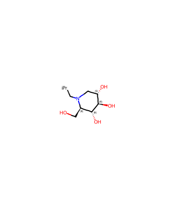 CC(C)CN1C[C@H](O)[C@@H](O)[C@H](O)[C@H]1CO